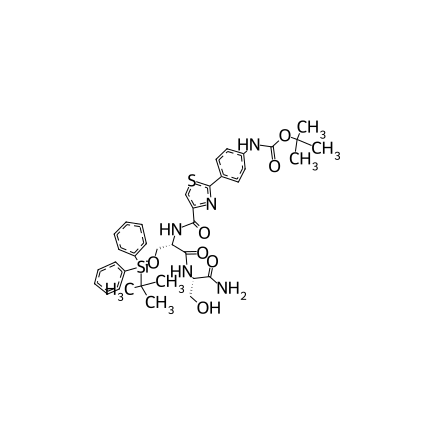 CC(C)(C)OC(=O)Nc1ccc(-c2nc(C(=O)N[C@@H](CO[Si](c3ccccc3)(c3ccccc3)C(C)(C)C)C(=O)N[C@@H](CO)C(N)=O)cs2)cc1